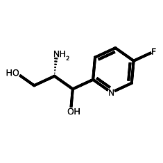 N[C@@H](CO)C(O)c1ccc(F)cn1